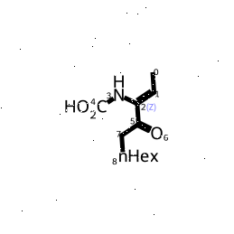 C/C=C(\NC(=O)O)C(=O)CCCCCCC